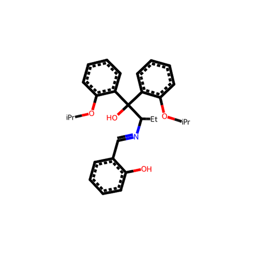 CCC(N=Cc1ccccc1O)C(O)(c1ccccc1OC(C)C)c1ccccc1OC(C)C